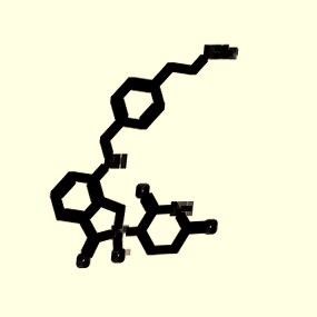 CNCCc1ccc(CNc2cccc3c2C[N+]([O-])(C2CCC(=O)NC2=O)C3=O)cc1